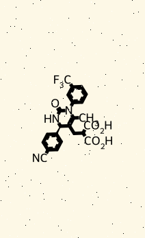 CC1=C(CC(C(=O)O)C(=O)O)[C@@H](c2ccc(C#N)cc2)NC(=O)N1c1cccc(C(F)(F)F)c1